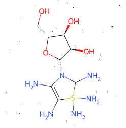 NC1=C(N)S(N)(N)C(N)N1[C@@H]1O[C@H](CO)[C@@H](O)[C@H]1O